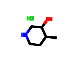 C[C@H]1CCNC[C@H]1O.Cl